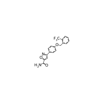 NC(=O)c1cc(-c2ccc(OCc3ccccc3C(F)(F)F)cc2)no1